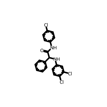 O=C(Nc1ccc(Cl)cc1)C(Nc1ccc(Cl)c(Cl)c1)c1ccccc1